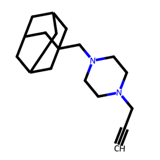 C#CCN1CCN(CC23CC4CC(CC(C4)C2)C3)CC1